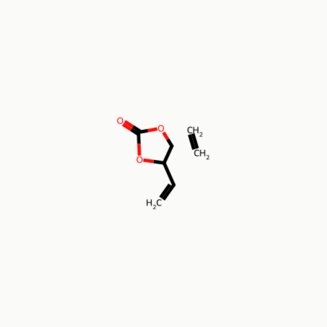 C=C.C=CC1COC(=O)O1